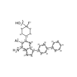 CC(=O)c1c(C2CCC(F)(C(=O)O)CC2)nc2c(-c3ccc(-c4ccccc4)nc3)cnn2c1N